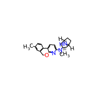 Cc1ccc2c(c1)COc1nc(N(C)[C@@H]3C[C@H]4CC[C@@H](C3)N4)ccc1-2